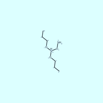 CCCO[SiH](O[SiH3])OCCC